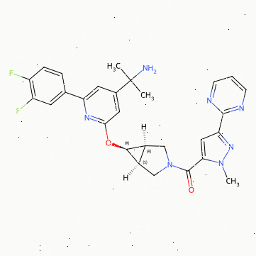 Cn1nc(-c2ncccn2)cc1C(=O)N1C[C@@H]2[C@H](C1)[C@@H]2Oc1cc(C(C)(C)N)cc(-c2ccc(F)c(F)c2)n1